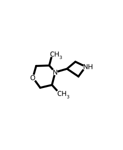 CC1COCC(C)N1C1CNC1